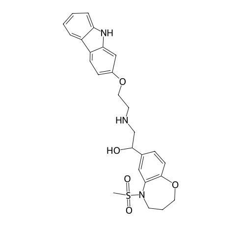 CS(=O)(=O)N1CCCOc2ccc(C(O)CNCCOc3ccc4c(c3)[nH]c3ccccc34)cc21